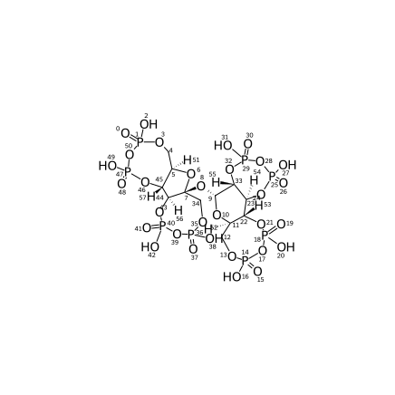 O=P1(O)OC[C@H]2O[C@]3(O[C@H]4O[C@@H]5COP(=O)(O)OP(=O)(O)O[C@H]5[C@@H]5OP(=O)(O)OP(=O)(O)O[C@@H]45)COP(=O)(O)OP(=O)(O)O[C@H]3[C@@H]2OP(=O)(O)O1